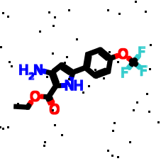 CCOC(=O)c1[nH]c(-c2ccc(OC(F)(F)F)cc2)cc1N